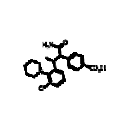 CCOC(=O)c1ccc(C(C(N)=O)C(C)c2cccc(Cl)c2N2CCCCC2)cc1